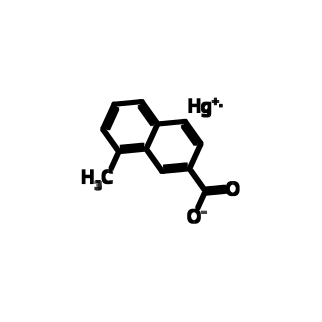 Cc1cccc2ccc(C(=O)[O-])cc12.[Hg+]